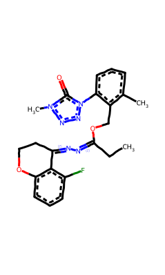 CC/C(=N/N=C1/CCOc2cccc(F)c21)OCc1c(C)cccc1-n1nnn(C)c1=O